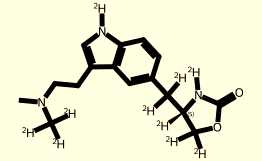 [2H]N1C(=O)OC([2H])([2H])[C@]1([2H])C([2H])([2H])c1ccc2c(c1)c(CCN(C)C([2H])([2H])[2H])cn2[2H]